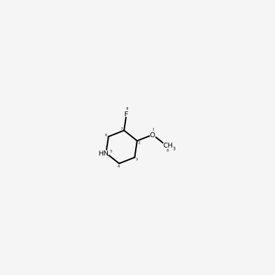 COC1CCNCC1F